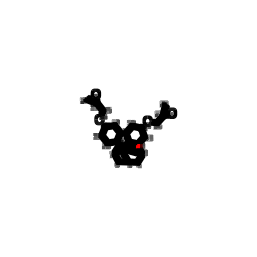 C1C2CC3CC1CC(C2)C3(C1CCC(OCC2CO2)CC1)C1CCC(OCC2CO2)CC1